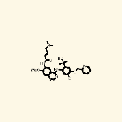 COc1cc2ncnc(Nc3cc(Cl)c(OCc4ccccn4)cc3C(C)(C)O)c2cc1NC(=O)C=CCN(C)C